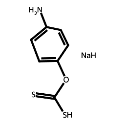 Nc1ccc(OC(=S)S)cc1.[NaH]